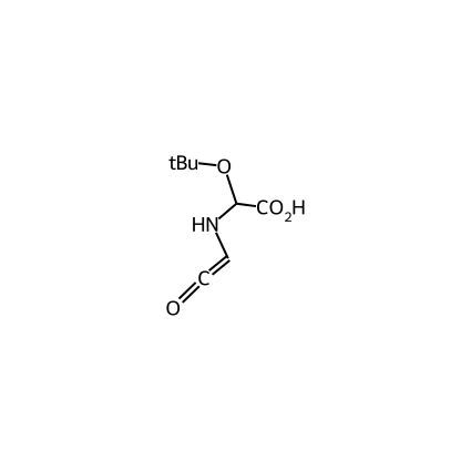 CC(C)(C)OC(NC=C=O)C(=O)O